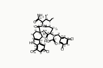 CC[C@H](C)C(NC(=O)[C@@]1(NC(=O)C([C@@H](C)CC)N(Cc2cc(Cl)cc(Cl)c2)C(=O)O)CCc2[nH]c3c(Cl)cc(Cl)cc3c2C1)C(N)=O